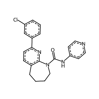 O=C(Nc1ccncc1)N1CCCCc2ccc(-c3cccc(Cl)c3)nc21